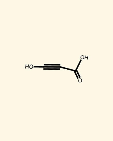 O=C(O)C#CO